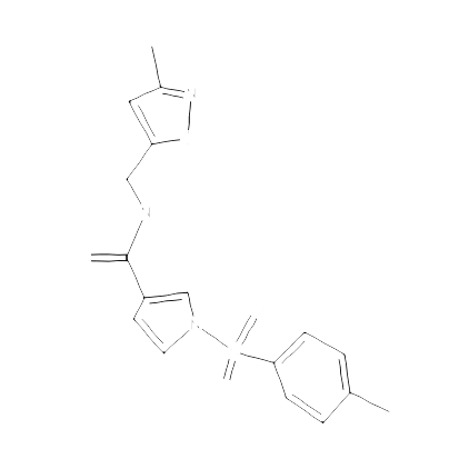 Cc1ccc(S(=O)(=O)n2ccc(C(=O)NCc3cc(C)no3)c2)cc1